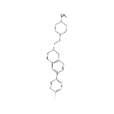 CC1CCC(CCC2CCc3cc(-c4ccc(F)cc4)ccc3C2)CC1